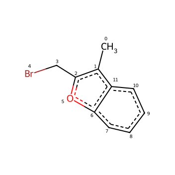 Cc1c(CBr)oc2ccccc12